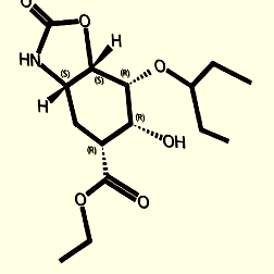 CCOC(=O)[C@@H]1C[C@@H]2NC(=O)O[C@@H]2[C@H](OC(CC)CC)[C@@H]1O